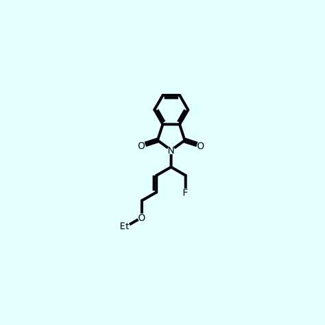 CCOCC=CC(CF)N1C(=O)c2ccccc2C1=O